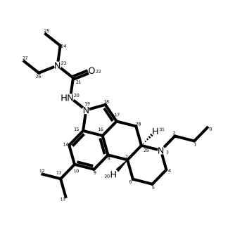 CCCN1CCC[C@@H]2c3cc(C(C)C)cc4c3c(cn4NC(=O)N(CC)CC)C[C@H]21